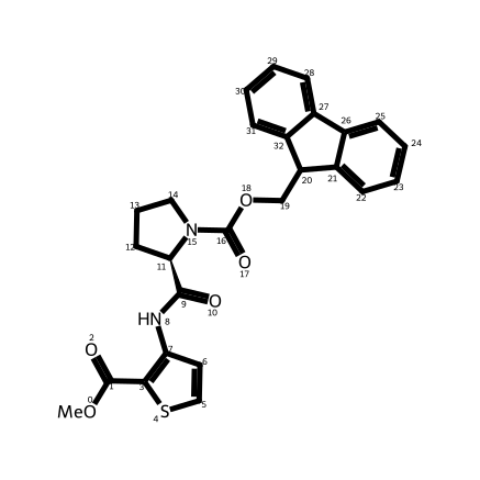 COC(=O)c1sccc1NC(=O)[C@H]1CCCN1C(=O)OCC1c2ccccc2-c2ccccc21